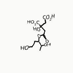 CC(O)C(CCO)OC(=O)CC(O)(CC(=O)O)C(=O)O